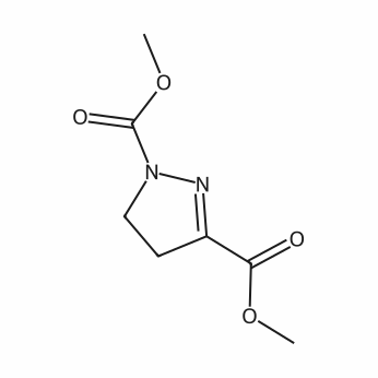 COC(=O)C1=NN(C(=O)OC)CC1